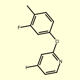 Cc1ccc(Oc2cc(I)ccn2)cc1F